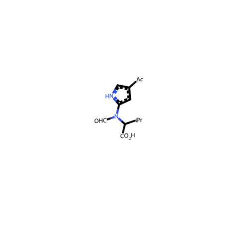 CC(=O)c1c[nH]c(N(C=O)C(C(=O)O)C(C)C)c1